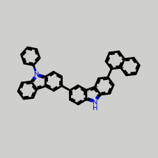 c1ccc(-n2c3ccccc3c3cc(-c4ccc5[nH]c6ccc(-c7cccc8ccccc78)cc6c5c4)ccc32)cc1